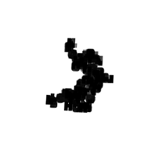 Cc1ncsc1-c1ccc(CNC(=O)[C@@H]2C[C@@H](Oc3ccc4c(c3)C(=O)N([C@H](C(=O)N3C[C@H](O)C[C@H]3C(=O)NCc3ccc(-c5scnc5C)cc3)C(C)(C)C)C4)CN2C(=O)[C@@H](NC(=O)c2cccc(O[C@@H]3C[C@@H](C(=O)NCc4ccc(-c5scnc5C)cc4)N(C(=O)[C@@H](NC(=O)C4CCN(C)CC4)C(C)(C)C)C3)c2C#N)C(C)(C)C)cc1